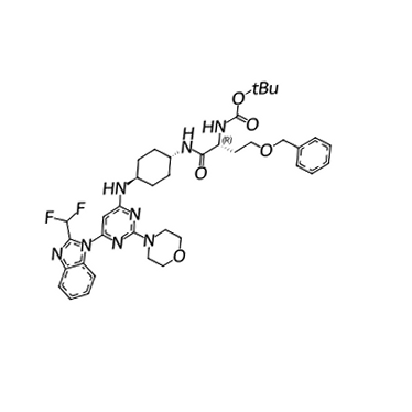 CC(C)(C)OC(=O)N[C@H](CCOCc1ccccc1)C(=O)N[C@H]1CC[C@H](Nc2cc(-n3c(C(F)F)nc4ccccc43)nc(N3CCOCC3)n2)CC1